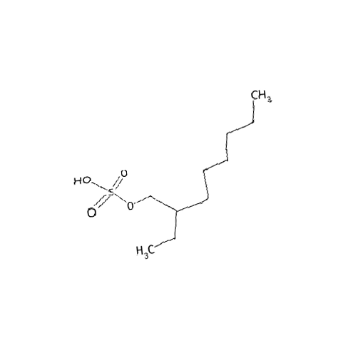 CCCCCCC(CC)COS(=O)(=O)O